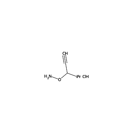 C#CC(ON)C(C)C.Cl